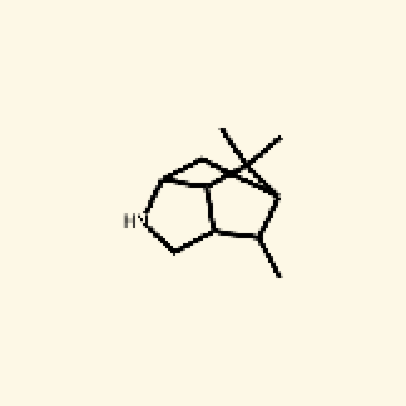 CC1C2CNC3CC1C(C)(C)C32